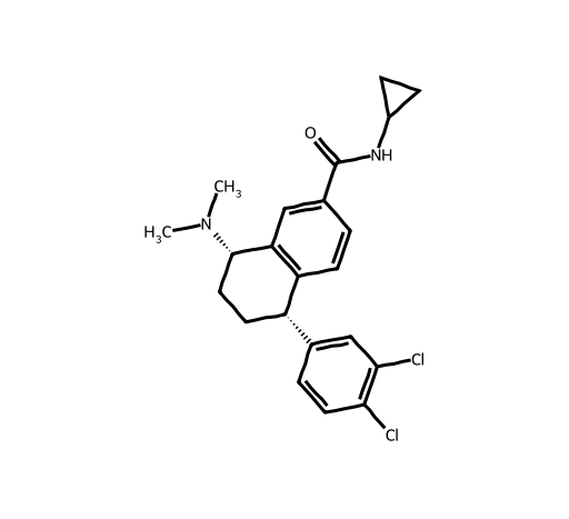 CN(C)[C@H]1CC[C@@H](c2ccc(Cl)c(Cl)c2)c2ccc(C(=O)NC3CC3)cc21